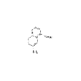 Bc1ccc2cccc(NC(C)=O)c2c1